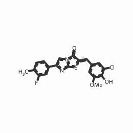 COc1cc(/C=c2\sc3nc(-c4ccc(C)c(F)c4)cn3c2=O)cc(Cl)c1O